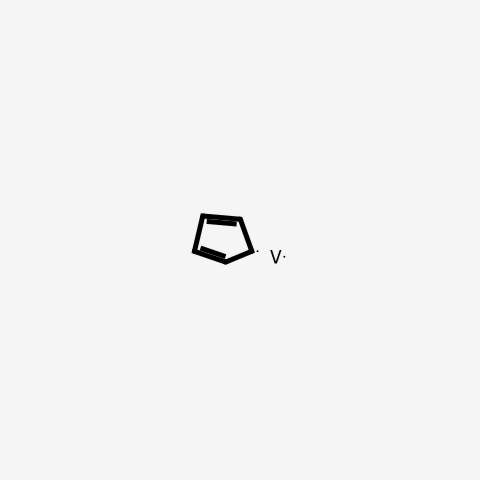 [CH]1C=CC=C1.[V]